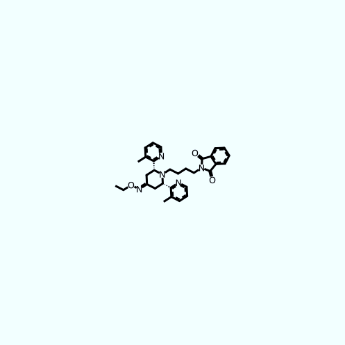 CCON=C1C[C@H](c2ncccc2C)N(CCCCN2C(=O)c3ccccc3C2=O)[C@H](c2ncccc2C)C1